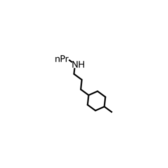 CCCNCCCC1CCC(C)CC1